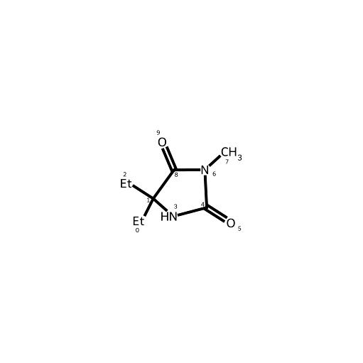 CCC1(CC)NC(=O)N(C)C1=O